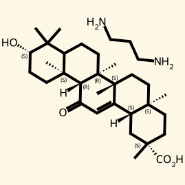 CC1(C)C2CC[C@]3(C)[C@H](C(=O)C=C4[C@H]5C[C@@](C)(C(=O)O)CC[C@]5(C)CC[C@]43C)[C@@]2(C)CC[C@@H]1O.NCCCN